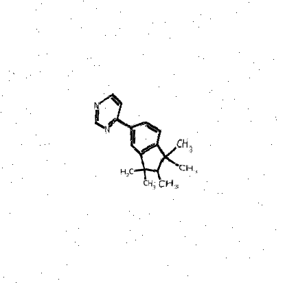 CC1C(C)(C)c2ccc(-c3ccncn3)cc2C1(C)C